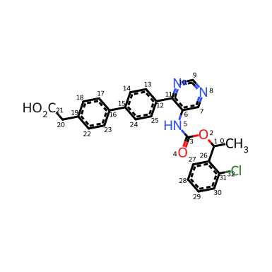 CC(OC(=O)Nc1cncnc1-c1ccc(-c2ccc(CC(=O)O)cc2)cc1)c1ccccc1Cl